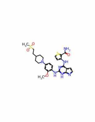 COc1cc(N2CCC(CCS(C)(=O)=O)CC2)ccc1Nc1nc(Nc2ccsc2C(N)=O)c2ccnc-2[nH]1